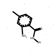 Cc1ccc(C(=S)NC(C)C)c([N+](=O)[O-])c1